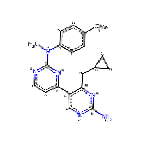 COc1ccc(N(C)c2nccc(-c3cnc(N)nc3CC3CC3)n2)cc1